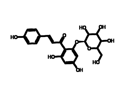 O=C(/C=C/c1ccc(O)cc1)c1c(O)cc(O)cc1O[C@@H]1OC(CO)C(O)C(O)C1O